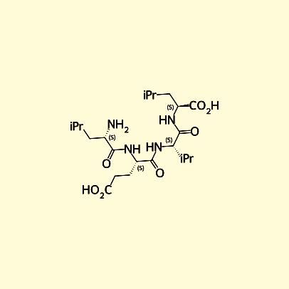 CC(C)C[C@H](NC(=O)[C@@H](NC(=O)[C@H](CCC(=O)O)NC(=O)[C@@H](N)CC(C)C)C(C)C)C(=O)O